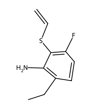 C=CSc1c(F)ccc(CC)c1N